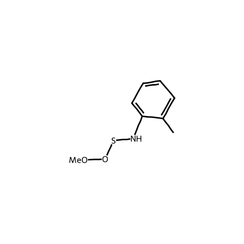 COOSNc1ccccc1C